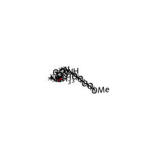 COCCOCCOCCOCCOCCNc1nc2ccc3c(c2s1)[C@]1(C)CCN(CC2CC2)C(C3=O)[C@@H]1C